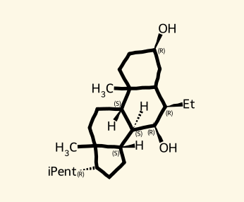 CCC[C@@H](C)C1CC[C@H]2[C@@H]3[C@H](O)[C@H](CC)C4C[C@H](O)CCC4(C)[C@H]3CCC12C